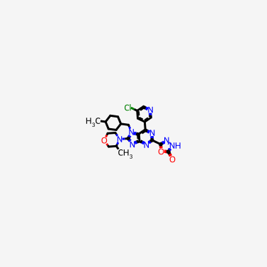 CC1CCC(Cn2c(N3CCOCC3C)nc3nc(-c4n[nH]c(=O)o4)nc(-c4cncc(Cl)c4)c32)CC1